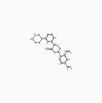 Nc1ncc(N2CCN(c3cccc(C4CCOCC4)c3)C(=O)C2)c(N)n1